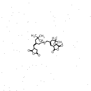 CC(C)(C)CC(=CC1CC(=O)OC1=O)CSSCC(=CC1CC(=O)OC1=O)CC(C)(C)C